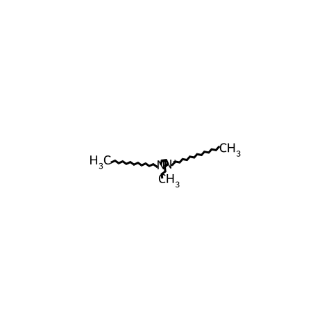 CCCCCCCCCCCCCCC[n+]1ccn(CCCCCCCCCCCCCC)c1CCC